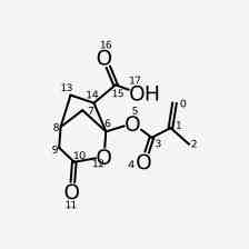 C=C(C)C(=O)OC12CC(CC(=O)O1)CC2C(=O)O